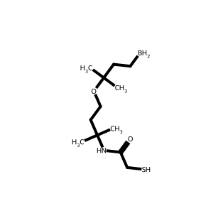 BCCC(C)(C)OCCC(C)(C)NC(=O)CS